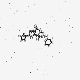 O=C1CC(CNCc2ccccc2)Nc2nc(-c3cccs3)nn21